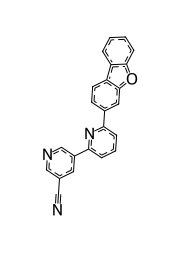 N#Cc1cncc(-c2cccc(-c3ccc4c(c3)oc3ccccc34)n2)c1